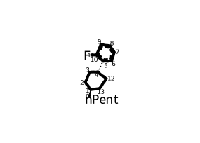 CCCCC[C@H]1CC[C@H](c2ccccc2F)CC1